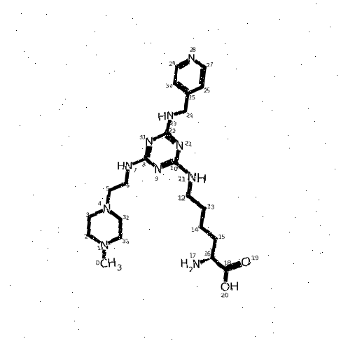 CN1CCN(CCNc2nc(NCCCC[C@H](N)C(=O)O)nc(NCc3ccncc3)n2)CC1